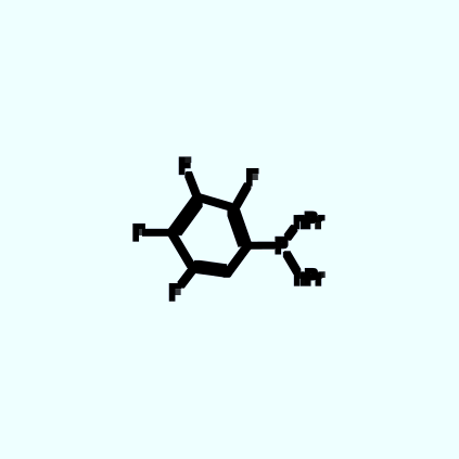 CCCP(CCC)c1cc(F)c(F)c(F)c1F